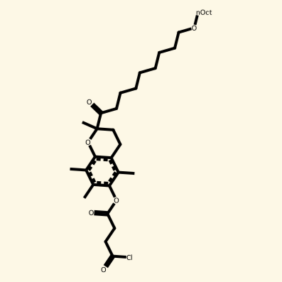 CCCCCCCCOCCCCCCCCC(=O)C1(C)CCc2c(C)c(OC(=O)CCC(=O)Cl)c(C)c(C)c2O1